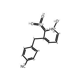 N#Cc1ccc(CC2=CC=C[NH+]([O-])C2=S(=O)=O)cc1